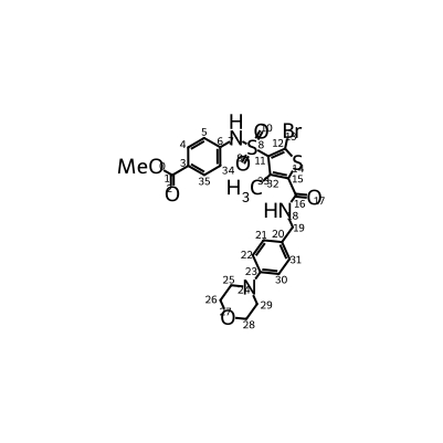 COC(=O)c1ccc(NS(=O)(=O)c2c(Br)sc(C(=O)NCc3ccc(N4CCOCC4)cc3)c2C)cc1